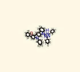 c1ccc(C2=NC(c3ccccc3)NC(n3c4ccccc4c4cc5c6c7oc8ccccc8c7ccc6n(-c6ccccc6)c5cc43)=N2)cc1